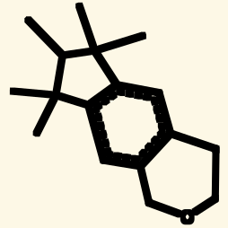 CC1C(C)(C)c2cc3c(cc2C1(C)C)COCC3